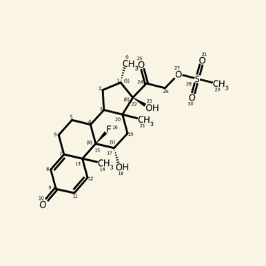 C[C@H]1CC2C3CCC4=CC(=O)C=CC4(C)[C@@]3(F)[C@@H](O)CC2(C)[C@@]1(O)C(=O)COS(C)(=O)=O